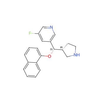 Fc1cncc([C@@H](Oc2cccc3ccccc23)[C@@H]2CCNC2)c1